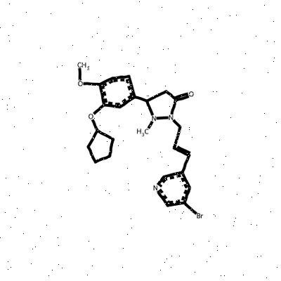 COc1ccc(C2CC(=O)N(CC=Cc3cncc(Br)c3)N2C)cc1OC1CCCC1